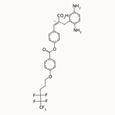 Nc1ccc(N)c(C/C(=C\c2ccc(OC(=O)c3ccc(OCCCC(F)(F)C(F)(F)C(F)(F)F)cc3)cc2)C(=O)O)c1